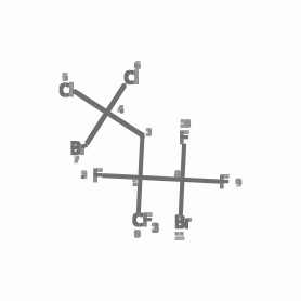 FC(F)(F)C(F)(CC(Cl)(Cl)Br)C(F)(F)Br